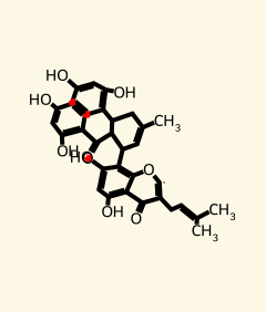 CC(C)=CCc1[c]oc2c(C3C=C(C)CC(c4ccc(O)cc4O)C3C(=O)c3ccc(O)cc3O)c(O)cc(O)c2c1=O